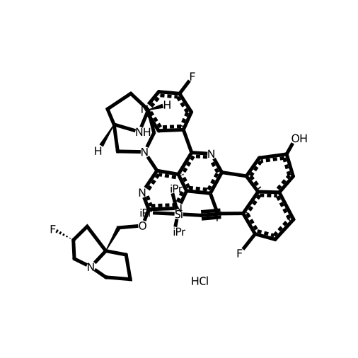 CC(C)[Si](C#Cc1c(F)ccc2cc(O)cc(-c3nc(-c4cncc(F)c4)c4c(N5C[C@H]6CC[C@@H](C5)N6)nc(OC[C@@]56CCCN5C[C@H](F)C6)nc4c3F)c12)(C(C)C)C(C)C.Cl